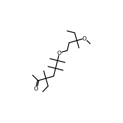 CCC(C)(CCOC(C)(C)C(C)(C)CC(C)(CC)C(C)=O)OC